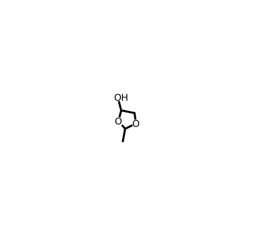 CC1OCC(O)O1